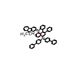 CC1(C)c2cc(N(c3ccccc3)c3ccccc3-c3ccc(N(C4=CC=C(c5ccccc5)CC4)c4ccc(-c5ccccc5)cc4)cc3-c3ccccc3)ccc2C2C=CC=CC21